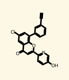 C#Cc1cccc(-c2cc(Cl)cc3c(=O)cc(-c4ccc(O)cn4)oc23)c1